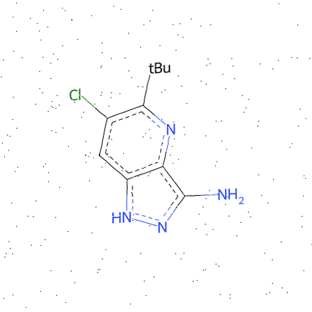 CC(C)(C)c1nc2c(N)n[nH]c2cc1Cl